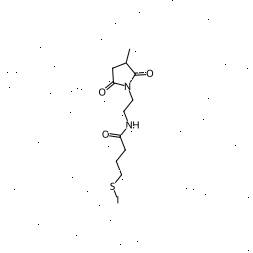 CC1CC(=O)N(CCNC(=O)CCCSI)C1=O